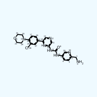 NCc1ccc(NC(=O)Nc2cncc(-c3ccc(N4CCOCC4)c(Cl)c3)n2)cn1